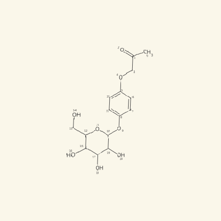 CC(=O)COc1ccc(OC2OC(CO)C(O)C(O)C2O)cc1